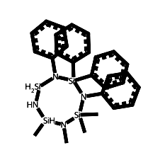 CN1[SiH](C)N[SiH2]N(c2ccccc2)[Si](c2ccccc2)(c2ccccc2)N(c2ccccc2)[Si]1(C)C